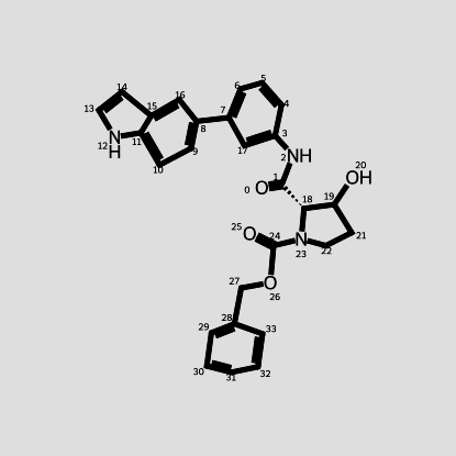 O=C(Nc1cccc(-c2ccc3[nH]ccc3c2)c1)[C@@H]1C(O)CCN1C(=O)OCc1ccccc1